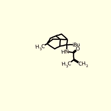 C=C(C)C(=O)NC1(C(C)CC)C2CC3CC1CC(C)(C3)C2